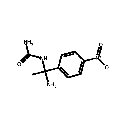 CC(N)(NC(N)=O)c1ccc([N+](=O)[O-])cc1